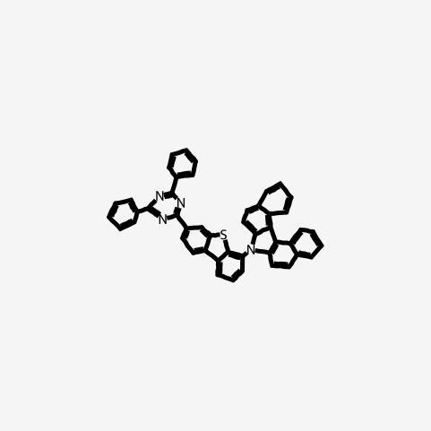 c1ccc(-c2nc(-c3ccccc3)nc(-c3ccc4c(c3)sc3c(-n5c6ccc7ccccc7c6c6c7ccccc7ccc65)cccc34)n2)cc1